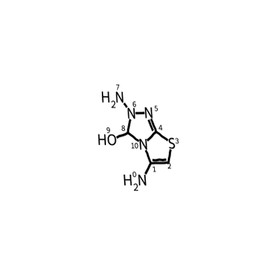 NC1=CSC2=NN(N)C(O)N12